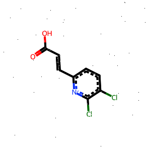 O=C(O)C=Cc1ccc(Cl)c(Cl)n1